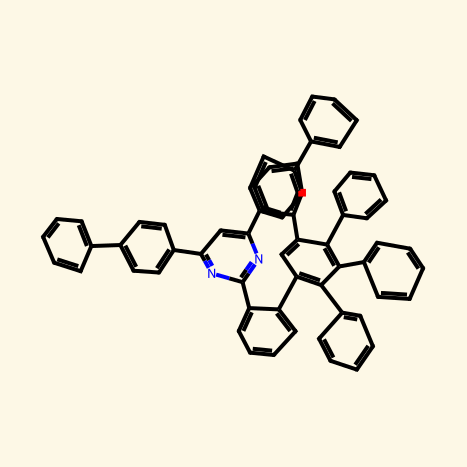 c1ccc(-c2ccc(-c3cc(-c4ccc(-c5ccccc5)cc4)nc(-c4ccccc4-c4cc(-c5ccccc5)c(-c5ccccc5)c(-c5ccccc5)c4-c4ccccc4)n3)cc2)cc1